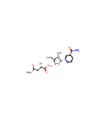 COC(=O)C[C@H](O)C(=O)OC[C@H]1O[C@@H]([n+]2cccc(C(N)=O)c2)[C@H](OC(C)=O)[C@@H]1OC(C)=O